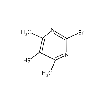 Cc1nc(Br)nc(C)c1S